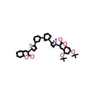 Cn1c(-c2cccc(-c3cccc(-c4ccc(-c5cc6ccccc6oc5=O)s4)c3)c2)ccc1-c1cc2c(OC(C)(C)C)cc(OC(C)(C)C)cc2oc1=O